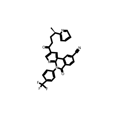 C[C@H](CCC(=O)c1cnc2c(c1)c1cc(C#N)ccc1c(=O)n2-c1ccc(C(F)(F)F)cc1)c1ccccn1